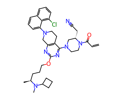 C=CC(=O)N1CCN(c2nc(OCCC[C@H](C)N(C)C3CCC3)nc3c2CCN(c2cccc4cccc(Cl)c24)C3)C[C@@H]1CC#N